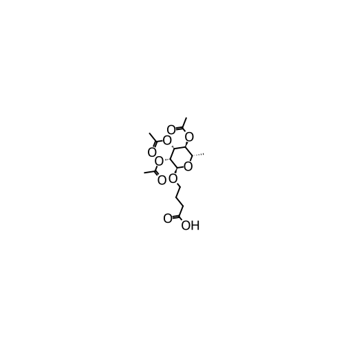 CC(=O)O[C@@H]1[C@@H](OC(C)=O)[C@H](C)O[C@@H](OCCCC(=O)O)[C@@H]1OC(C)=O